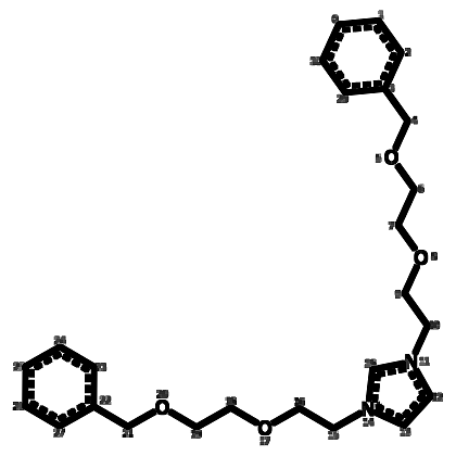 c1ccc(COCCOCCn2cc[n+](CCOCCOCc3ccccc3)c2)cc1